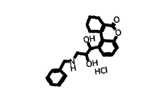 Cl.O=c1oc2cccc(C(O)C(O)CNCc3ccccc3)c2c2c1CCCC2